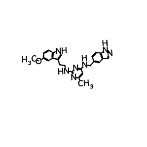 COc1ccc2[nH]cc(CCNc3nc(C)cc(NCc4ccc5[nH]ncc5c4)n3)c2c1